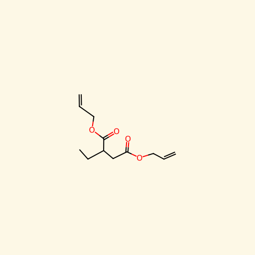 C=CCOC(=O)CC(CC)C(=O)OCC=C